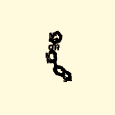 c1cc2cc(-c3ccc(O[C@H]4CN5CCC4CC5)nn3)ccc2s1